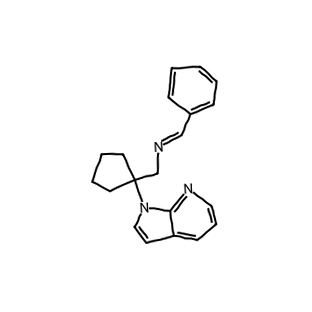 C(=NCC1(n2ccc3cccnc32)CCCC1)c1ccccc1